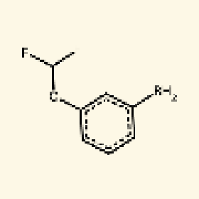 Bc1cccc(OC(F)F)c1